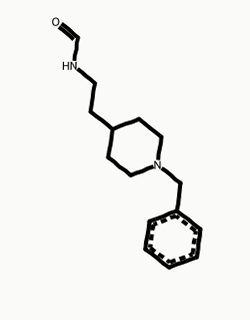 O=CNCCC1CCN(Cc2ccccc2)CC1